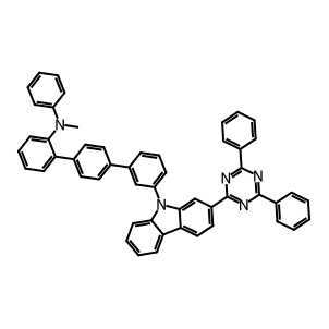 CN(c1ccccc1)c1ccccc1-c1ccc(-c2cccc(-n3c4ccccc4c4ccc(-c5nc(-c6ccccc6)nc(-c6ccccc6)n5)cc43)c2)cc1